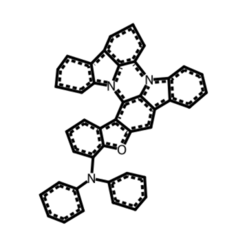 c1ccc(N(c2ccccc2)c2cccc3c2oc2cc4c5ccccc5n5c6cccc7c8ccccc8n(c76)c(c23)c45)cc1